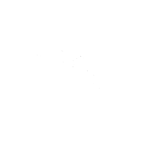 C=C(C)C(=O)Nc1ccc(S(=O)(=O)N/C=C/S(=O)(=O)O)cc1